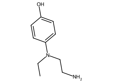 CCN(CCN)c1ccc(O)cc1